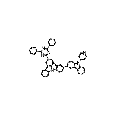 c1ccc(-c2nc(-c3ccccc3)nc(-c3cc4c5ccccc5n5c6ccc(-c7ccc8c(c7)c7ccccc7n8-c7ccncc7)cc6c(c3)c45)n2)cc1